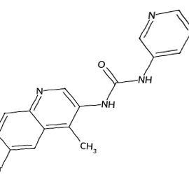 Cc1c(NC(=O)Nc2cccnc2)cnc2ccc(Br)cc12